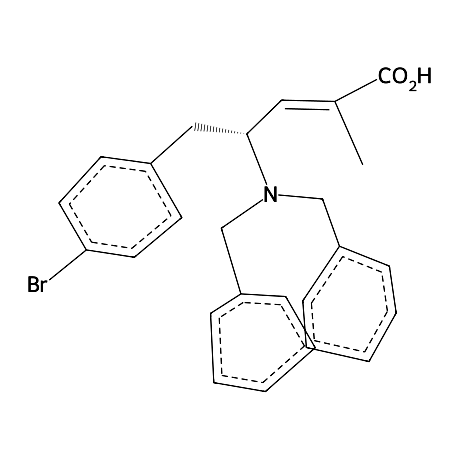 CC(=C[C@@H](Cc1ccc(Br)cc1)N(Cc1ccccc1)Cc1ccccc1)C(=O)O